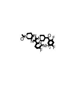 CC(=O)N1CCc2nc(N3CCC(C(=O)c4ccc(F)cc4F)CC3)c(-c3ccc(F)c(N)n3)nc2C1